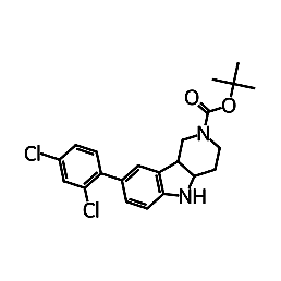 CC(C)(C)OC(=O)N1CCC2Nc3ccc(-c4ccc(Cl)cc4Cl)cc3C2C1